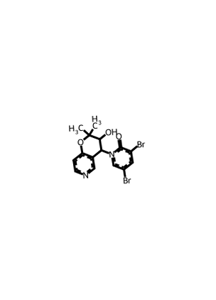 CC1(C)Oc2ccncc2C(n2cc(Br)cc(Br)c2=O)C1O